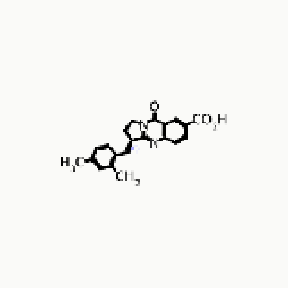 Cc1ccc(/C=C2\CCn3c2nc2ccc(C(=O)O)cc2c3=O)c(C)c1